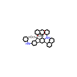 CCCCCCCCC1(CCCCCCCC)c2cc(Nc3ccccc3)ccc2-c2cc(-c3cccc4ccccc34)c(Nc3ccccc3)c(-c3cccc4ccccc34)c21